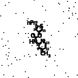 CCCc1cc(OC(=O)Nc2cc(C)ccn2)cs1